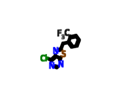 FC(F)(F)c1ccccc1Cc1nc2c(Cl)ncnc2s1